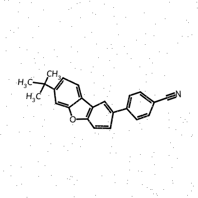 CC(C)(C)c1ccc2c(c1)oc1ccc(-c3ccc(C#N)cc3)cc12